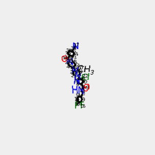 C[C@H]1CN(c2ncc(C(=O)NCc3ccc(F)c(F)c3)cc2Cl)CCN1C1CCN(C(=O)c2ccc(C#N)cc2)CC1